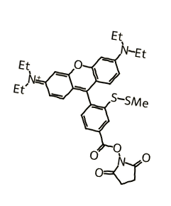 CCN(CC)c1ccc2c(-c3ccc(C(=O)ON4C(=O)CCC4=O)cc3SSC)c3ccc(=[N+](CC)CC)cc-3oc2c1